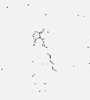 CCCCCCCCON1C(=O)CCC1=O